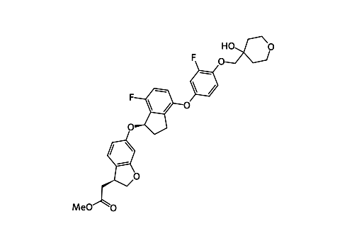 COC(=O)C[C@@H]1COc2cc(O[C@@H]3CCc4c(Oc5ccc(OCC6(O)CCOCC6)c(F)c5)ccc(F)c43)ccc21